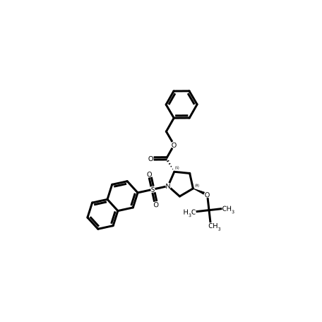 CC(C)(C)O[C@@H]1C[C@@H](C(=O)OCc2ccccc2)N(S(=O)(=O)c2ccc3ccccc3c2)C1